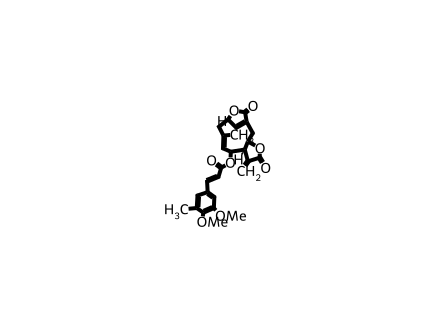 C=C1C(=O)OC2CC3=C[C@@H](C/C(C)=C/C(OC(=O)/C=C/c4cc(C)c(OC)c(OC)c4)[C@H]12)OC3=O